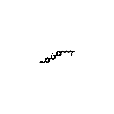 C=CCc1ccc(-c2ccc(-c3ccc(CCCCCC(C)F)cc3)nc2)cc1